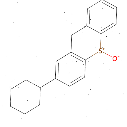 [O-][S+]1c2ccccc2Cc2cc(C3CCCCC3)ccc21